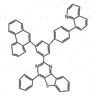 c1ccc(-c2nc(-c3cc(-c4ccc(-c5cccc6cccnc56)cc4)cc(-c4cc5ccccc5c5ccccc45)c3)nc3c2sc2ccccc23)cc1